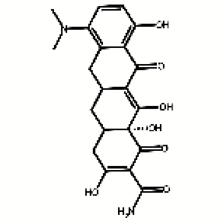 CN(C)c1ccc(O)c2c1CC1CC3CC(O)=C(C(N)=O)C(=O)[C@]3(O)C(O)=C1C2=O